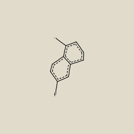 [CH2]c1cccc2cc(F)ccc12